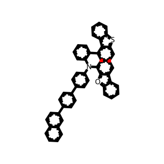 c1ccc(N(c2ccc(-c3ccc(-c4ccc5ccccc5c4)cc3)cc2)c2cccc3c2oc2ccccc23)c(-c2cccc3sc4ccccc4c23)c1